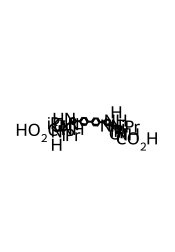 CC(C)C(NC(c1nc(-c2ccc(-c3ccc(-c4c[nH]c([C@H](N[C@@H](C(=O)NC(=O)O)C(C)C)C(C)C)n4)cc3)cc2)c[nH]1)C(C)C)C(=O)NC(=O)O